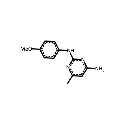 COc1ccc(Nc2nc(C)cc(N)n2)cc1